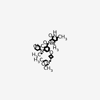 CCN(c1cc(O[C@H]2C[C@H](CN3C[C@@H](C)O[C@@H](C)C3)C2)cc(C(=O)NCc2c(C)cc(C)[nH]c2=O)c1C)C1CCOCC1